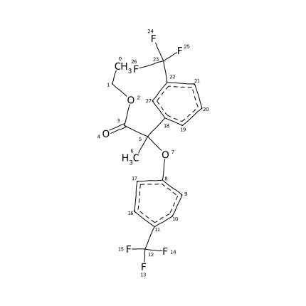 CCOC(=O)C(C)(Oc1ccc(C(F)(F)F)cc1)c1cccc(C(F)(F)F)c1